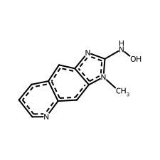 Cn1c(NO)nc2cc3cccnc3cc21